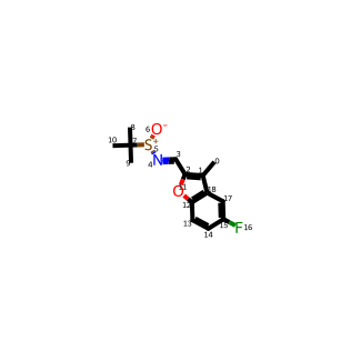 Cc1c(/C=N/[S+]([O-])C(C)(C)C)oc2ccc(F)cc12